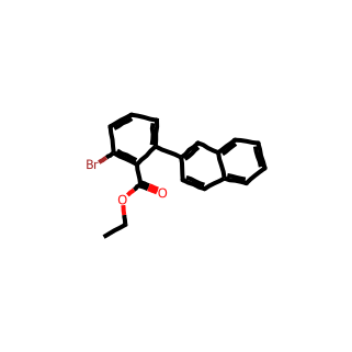 CCOC(=O)c1c(Br)cccc1-c1ccc2ccccc2c1